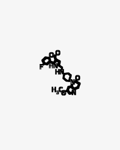 COc1cnc2ccc(=O)n([C@H]3CC[C@H](NCc4cc5c(=O)oc6ccc(F)cc6c5[nH]4)CC3)c2c1